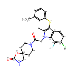 CCOC(=O)c1cccc(Sc2c(C)n(CC(=O)N3CCC4(CC3)CNC(=O)O4)c3c(F)c(Cl)ccc23)c1